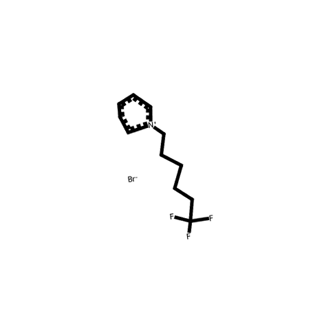 FC(F)(F)CCCCC[n+]1ccccc1.[Br-]